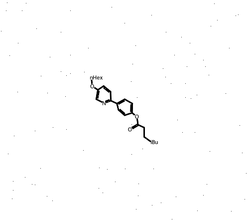 CCCCCCOc1ccc(-c2ccc(OC(=O)CCC(C)CC)cc2)nc1